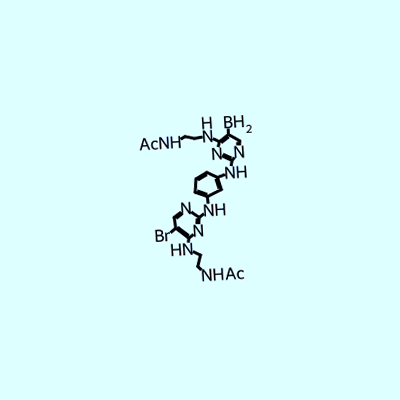 Bc1cnc(Nc2cccc(Nc3ncc(Br)c(NCCNC(C)=O)n3)c2)nc1NCCNC(C)=O